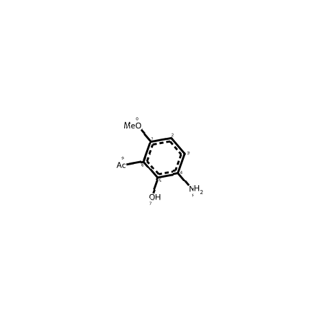 COc1ccc(N)c(O)c1C(C)=O